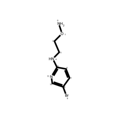 NOCCNc1ccc(Br)cn1